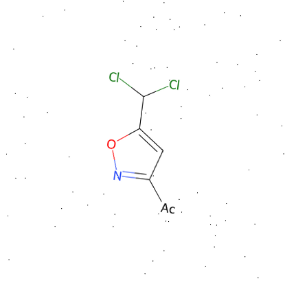 CC(=O)c1cc(C(Cl)Cl)on1